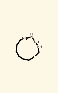 C1CCCCNNNNCCC1